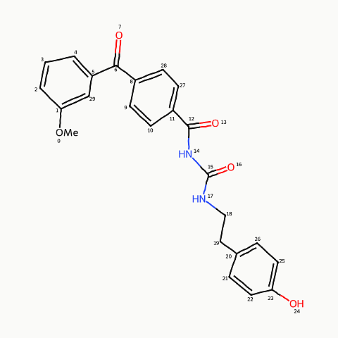 COc1cccc(C(=O)c2ccc(C(=O)NC(=O)NCCc3ccc(O)cc3)cc2)c1